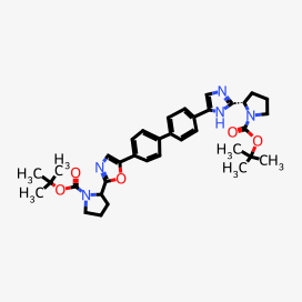 CC(C)(C)OC(=O)N1CCCC1c1ncc(-c2ccc(-c3ccc(-c4cnc([C@@H]5CCCN5C(=O)OC(C)(C)C)[nH]4)cc3)cc2)o1